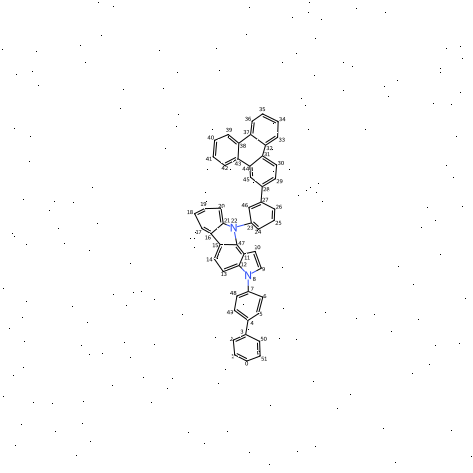 c1ccc(-c2ccc(-n3ccc4c3ccc3c5ccccc5n(-c5cccc(-c6ccc7c8ccccc8c8ccccc8c7c6)c5)c34)cc2)cc1